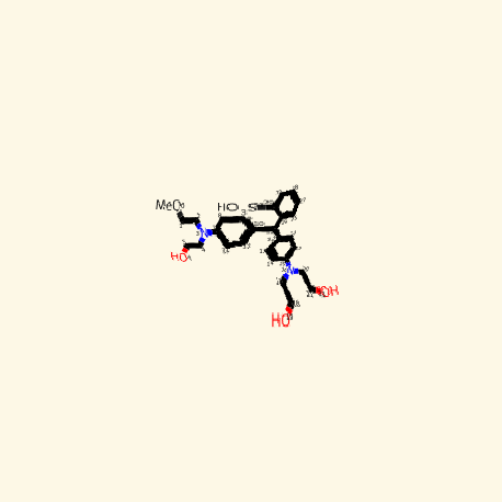 COCCN(CCO)c1ccc(C(c2ccc(N(CCO)CCO)cc2)c2ccccc2S(=O)(=O)O)cc1